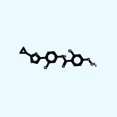 COc1ccc(C(=O)Nc2ccc(-c3csc(C4CC4)n3)c(Cl)c2)c(Cl)c1